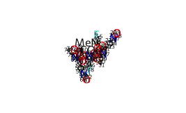 CN[C@@H](CC(C)(C)F)C(=O)O[C@H](Cc1ccc(N2CCOCC2)cc1)C(=O)N(C)[C@@H](CC1CC1)C(=O)O[C@H](C)C(=O)N(C)[C@@H](CCC(C)(C)F)C(=O)O[C@H](Cc1ccc(N2CCOCC2)cc1)C(=O)N(C)[C@@H](CC1CC1)C(=O)O[C@H](C)C(=O)O